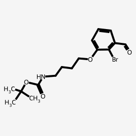 CC(C)(C)OC(=O)NCCCCOc1cccc(C=O)c1Br